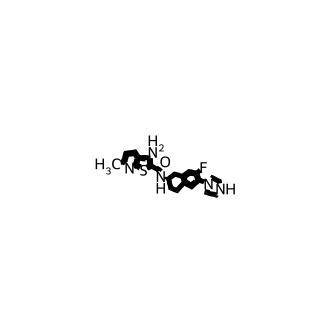 Cc1ccc2c(N)c(C(=O)N[C@@H]3CCc4cc(N5CCNCC5)c(F)cc4C3)sc2n1